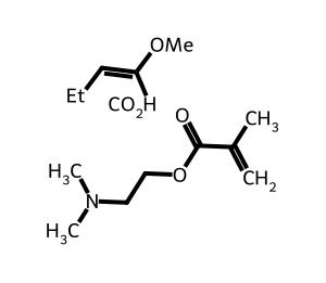 C=C(C)C(=O)OCCN(C)C.CCC=C(OC)C(=O)O